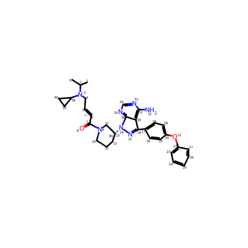 CC(C)N(C/C=C/C(=O)N1CCC[C@@H](n2nc(-c3ccc(Oc4ccccc4)cc3)c3c(N)ncnc32)C1)C1CC1